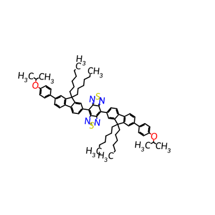 CCCCCCC1(CCCCCC)c2cc(-c3ccc(OC(C)C)cc3)ccc2-c2ccc(-c3c4c(c(-c5ccc6c(c5)C(CCCCCC)(CCCCCC)c5cc(-c7ccc(OC(C)C)cc7)ccc5-6)c5nsnc35)N=S=N4)cc21